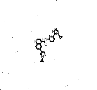 O=C(Nc1cccc(-c2nncn2C2CC2)n1)c1ccnc2ccc(-c3cnn(C4CC4)c3)cc12